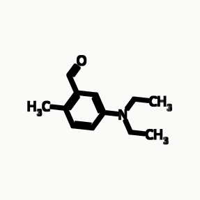 CCN(CC)c1ccc(C)c(C=O)c1